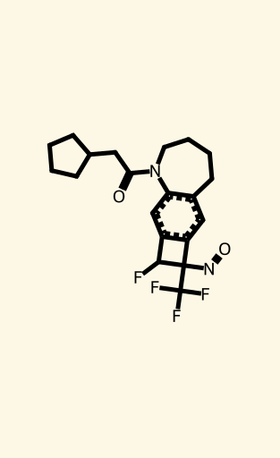 O=NC1(C(F)(F)F)c2cc3c(cc2C1F)N(C(=O)CC1CCCC1)CCCC3